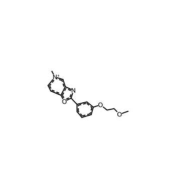 COCCOc1cccc(-c2nc3c[n+](C)ccc3o2)c1